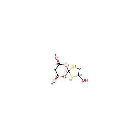 O=C1CC(=O)OC2(O1)SCC(O)S2